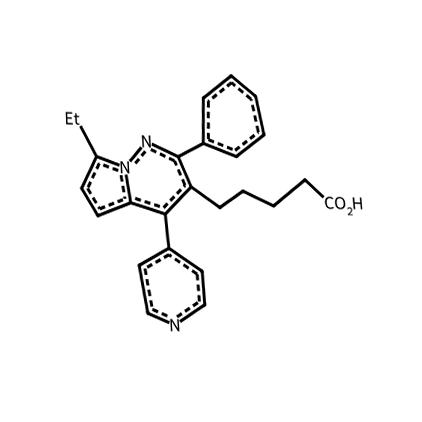 CCc1ccc2c(-c3ccncc3)c(CCCCC(=O)O)c(-c3ccccc3)nn12